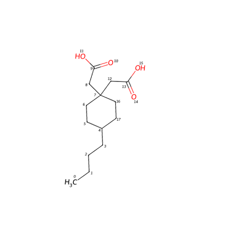 CCCCC1CCC(CC(=O)O)(CC(=O)O)CC1